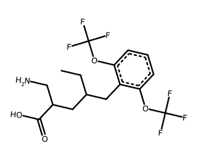 CCC(Cc1c(OC(F)(F)F)cccc1OC(F)(F)F)CC(CN)C(=O)O